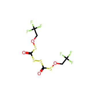 O=C(SOCC(F)(F)F)SSC(=O)SOCC(F)(F)F